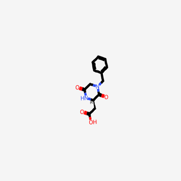 O=C(O)C[C@H]1NC(=O)CN(Cc2ccccc2)C1=O